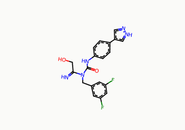 N=C(CO)N(Cc1cc(F)cc(F)c1)C(=O)Nc1ccc(-c2cn[nH]c2)cc1